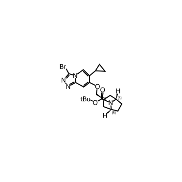 CC(C)(C)OC(=O)N1[C@@H]2CC[C@H]1C[C@H](COc1cc3nnc(Br)n3cc1C1CC1)C2